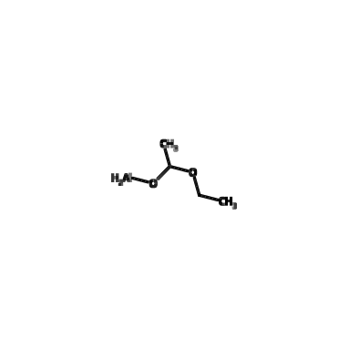 CCOC(C)[O][AlH2]